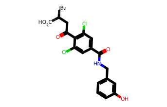 CC(C)(C)C(CC(=O)c1c(Cl)cc(C(=O)NCc2cccc(O)c2)cc1Cl)C(=O)O